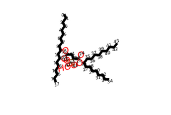 CCCCCCCCCC(CCCCCCCC)OC(=O)CC(C(=O)OC(CCCCCCCC)CCCCCCCCC)S(=O)(=O)O